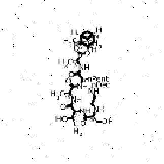 CCCCCCCCCCNCCN[C@@H](CO)C(=O)N[C@H](C(=O)N[C@@H](C)C(=O)N[C@@H](CCCCC)C(=O)N[C@@H](C)B1O[C@@H]2C[C@@H]3C[C@@H](C3(C)C)[C@]2(C)O1)[C@@H](C)O